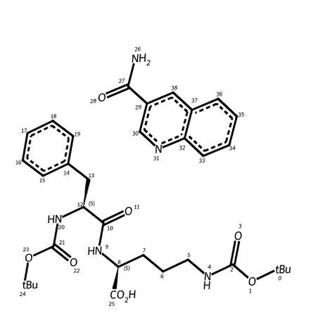 CC(C)(C)OC(=O)NCCC[C@H](NC(=O)[C@H](Cc1ccccc1)NC(=O)OC(C)(C)C)C(=O)O.NC(=O)c1cnc2ccccc2c1